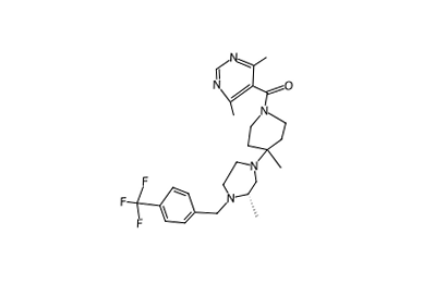 Cc1ncnc(C)c1C(=O)N1CCC(C)(N2CCN(Cc3ccc(C(F)(F)F)cc3)[C@@H](C)C2)CC1